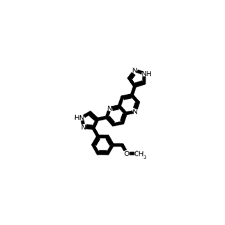 COCc1cccc(-c2n[nH]cc2-c2ccc3ncc(-c4cn[nH]c4)cc3n2)c1